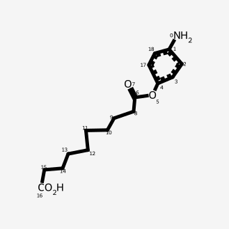 Nc1ccc(OC(=O)CCCCCCCCC(=O)O)cc1